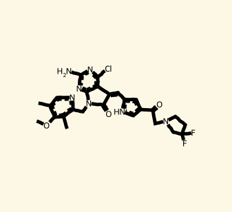 COc1c(C)cnc(CN2C(=O)C(=Cc3cc(C(=O)CN4CCC(F)(F)C4)c[nH]3)c3c(Cl)nc(N)nc32)c1C